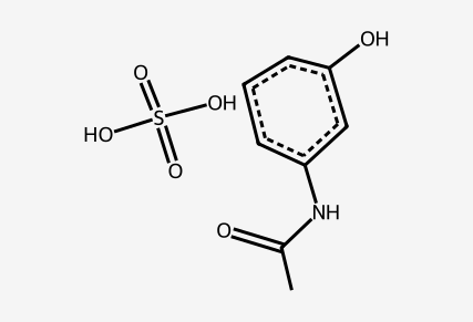 CC(=O)Nc1cccc(O)c1.O=S(=O)(O)O